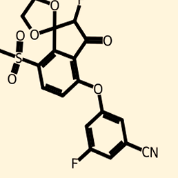 CS(=O)(=O)c1ccc(Oc2cc(F)cc(C#N)c2)c2c1C1(OCCO1)C(F)C2=O